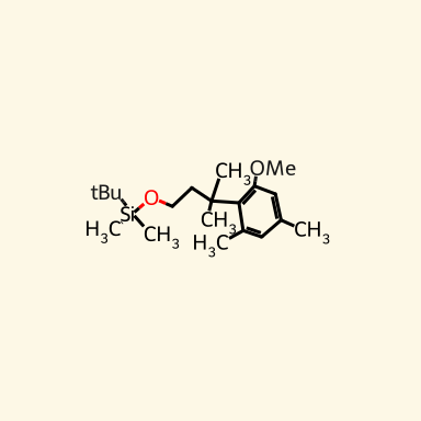 COc1cc(C)cc(C)c1C(C)(C)CCO[Si](C)(C)C(C)(C)C